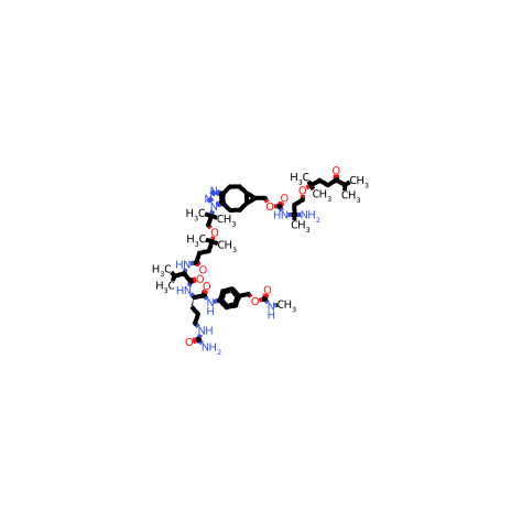 CNC(=O)OCc1ccc(NC(=O)[C@H](CCCNC(N)=O)NC(=O)C(NC(=O)CCC(C)(C)OCC(C)(C)n2nnc3c2CCC2C(CC3)C2COC(=O)NC(C)(N)CCOC(C)(C)CCC(=O)C(C)C)C(C)C)cc1